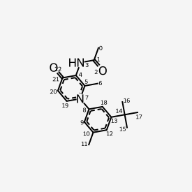 CC(=O)Nc1c(C)n(-c2cc(C)cc(C(C)(C)C)c2)ccc1=O